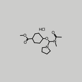 COC(=O)C1CCC(OC(N2CCCC2)N(C)C(C)=O)CC1.Cl